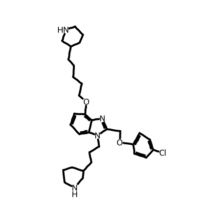 Clc1ccc(OCc2nc3c(OCCCCCC4CCCNC4)cccc3n2CCCC2CCCNC2)cc1